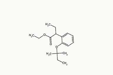 CCOC(=O)C(CC)c1ccccc1OC(C)(C)CC